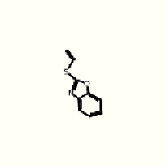 C=CSc1nc2ccccc2o1